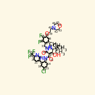 CN1[C@@H](C(C)(C)C)C(O)=C(C(=O)Nc2ccc(Cl)cc2-c2ccc(C(F)(F)F)nc2)C(=O)N1Cc1ccc(OCCN2CCOCC2)c(F)c1F